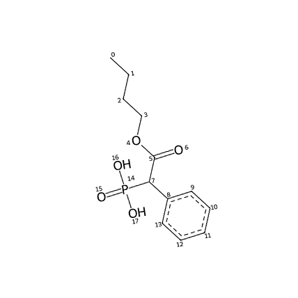 CCCCOC(=O)C(c1ccccc1)P(=O)(O)O